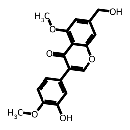 COc1ccc(-c2coc3cc(CO)cc(OC)c3c2=O)cc1O